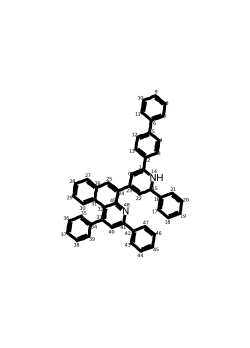 C1=C(c2ccc(-c3ccccc3)cc2)NC(c2ccccc2)C=C1c1cc2ccccc2c2c(-c3ccccc3)cc(-c3ccccc3)nc12